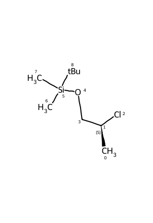 C[C@H](Cl)CO[Si](C)(C)C(C)(C)C